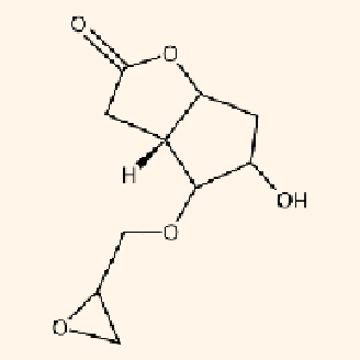 O=C1C[C@@H]2C(CC(O)C2OCC2CO2)O1